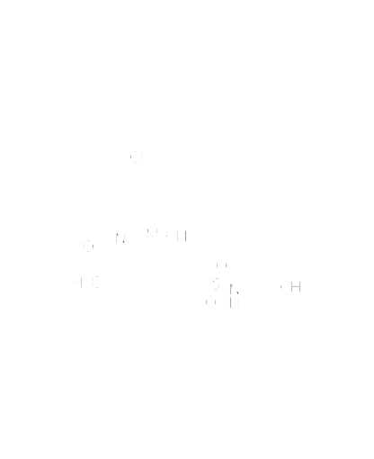 C#CCNS(=O)(=O)c1ccc(CCN(Cc2cc(Cl)ccc2OC)C(=O)C=C)cc1